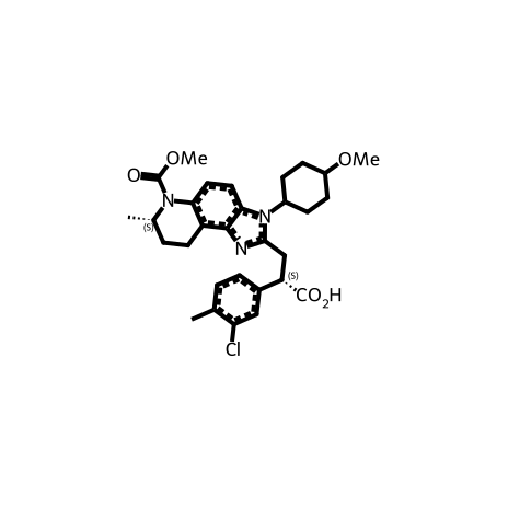 COC(=O)N1c2ccc3c(nc(C[C@H](C(=O)O)c4ccc(C)c(Cl)c4)n3C3CCC(OC)CC3)c2CC[C@@H]1C